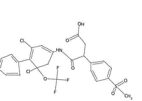 CS(=O)(=O)c1ccc(C(CC(=O)O)C(=O)NC2=CC(Cl)=C(c3ccccc3)C(Cl)(OC(F)(F)F)C2)cc1